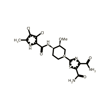 CO[C@H]1CN(c2nc(C(N)=O)c(C(N)=O)s2)CC[C@H]1NC(=O)c1[nH]c(C)c(Cl)c1Cl